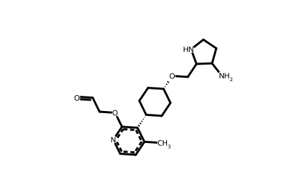 Cc1ccnc(OCC=O)c1[C@H]1CC[C@@H](OCC2NCCC2N)CC1